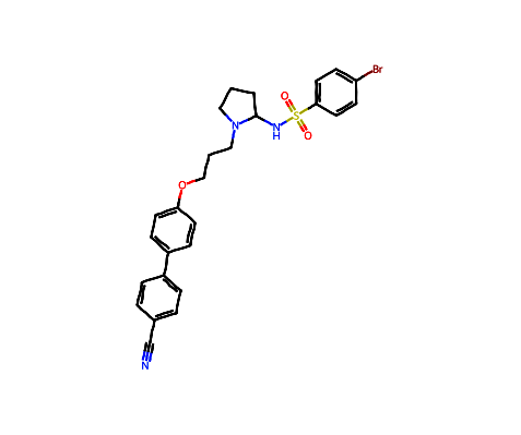 N#Cc1ccc(-c2ccc(OCCCN3CCCC3NS(=O)(=O)c3ccc(Br)cc3)cc2)cc1